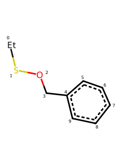 CCSOCc1ccccc1